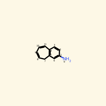 Nc1ccc2c(c1)CC=CC=C2